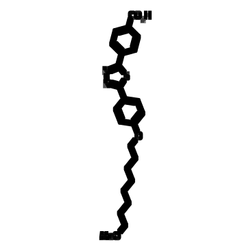 COCCCCCCCCOc1ccc(-c2nnc(-c3ccc(C(=O)O)cc3)s2)cc1